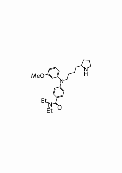 CCN(CC)C(=O)c1ccc(N(CCCCC2CCCN2)c2cccc(OC)c2)cc1